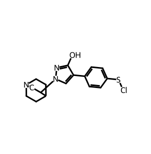 Oc1nn(C2CN3CCC2CC3)cc1-c1ccc(SCl)cc1